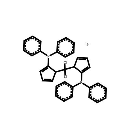 ClC(Cl)(C1C=CC=C1P(c1ccccc1)c1ccccc1)C1C=CC=C1P(c1ccccc1)c1ccccc1.[Fe]